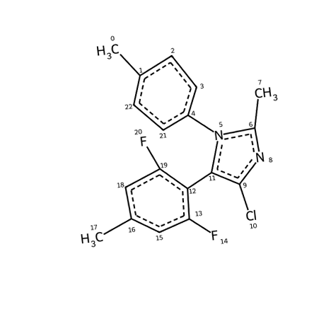 Cc1ccc(-n2c(C)nc(Cl)c2-c2c(F)cc(C)cc2F)cc1